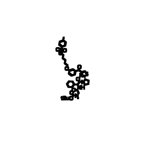 Cc1ccc(S(=O)(=O)OCCCCCOc2cccc(C(=O)c3csc([C@@H]4CCCN4C(=O)[C@@H](NC(=O)CN(C)C(=O)OC(C)(C)C)C4CCCCC4)n3)c2)cc1